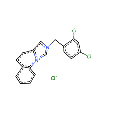 Clc1ccc(Cn2cc3ccc4ccccc4[n+]3c2)c(Cl)c1.[Cl-]